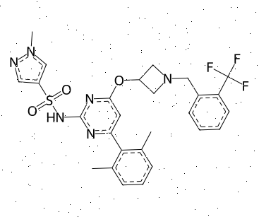 Cc1cccc(C)c1-c1cc(OC2CN(Cc3ccccc3C(F)(F)F)C2)nc(NS(=O)(=O)c2cnn(C)c2)n1